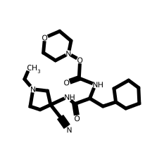 CCN1CCC(C#N)(NC(=O)C(CC2CCCCC2)NC(=O)ON2CCOCC2)C1